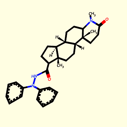 CN1C(=O)CC[C@@]2(C)C1CC[C@@H]1[C@H]2CC[C@]2(C)C(C(=O)NN(c3ccccc3)c3ccccc3)CC[C@@H]12